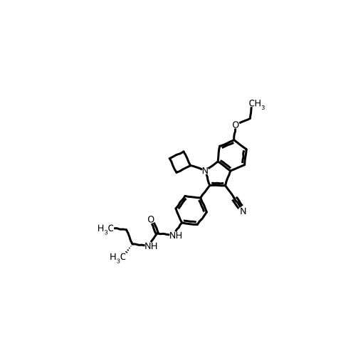 CCOc1ccc2c(C#N)c(-c3ccc(NC(=O)N[C@H](C)CC)cc3)n(C3CCC3)c2c1